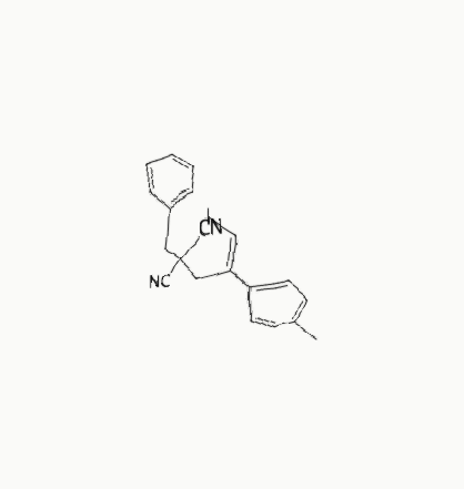 Cc1ccc(C(=CI)CC(C#N)(C#N)Cc2ccccc2)cc1